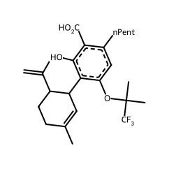 C=C(C)C1CCC(C)=CC1c1c(OC(C)(C)C(F)(F)F)cc(CCCCC)c(C(=O)O)c1O